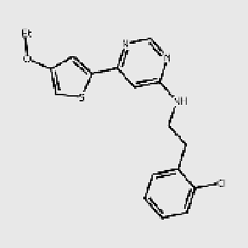 CCOc1csc(-c2cc(NCCc3ccccc3Cl)ncn2)c1